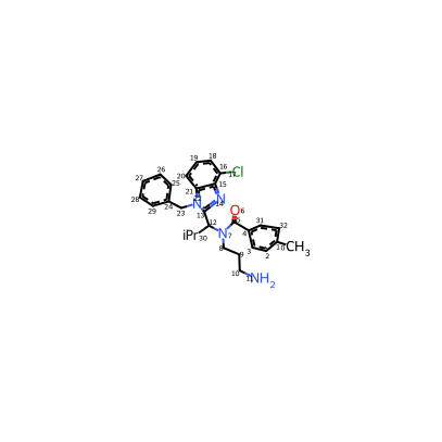 Cc1ccc(C(=O)N(CCCN)C(c2nc3c(Cl)cccc3n2Cc2ccccc2)C(C)C)cc1